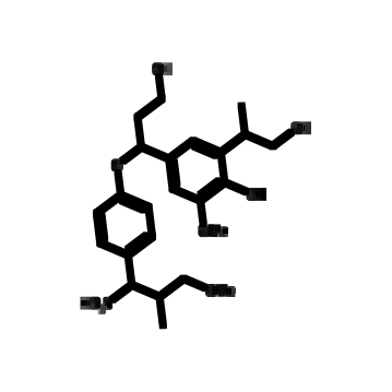 COCC(C)C(c1ccc(OC(CCO)c2cc(OC)c(O)c(C(C)CO)c2)cc1)S(=O)(=O)O